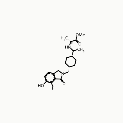 COC(=O)[C@@H](C)NC(C)[C@H]1CC[C@H](CN2Cc3ccc(O)c(F)c3C2=O)CC1